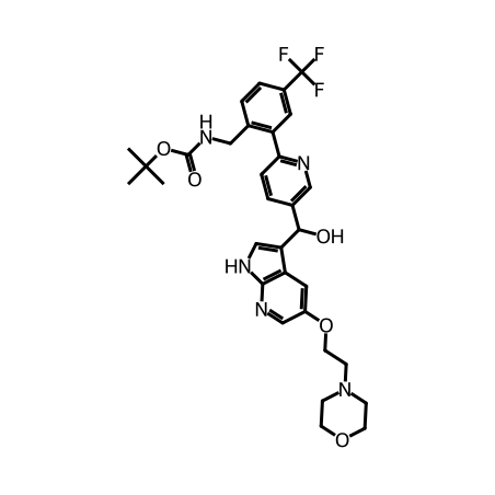 CC(C)(C)OC(=O)NCc1ccc(C(F)(F)F)cc1-c1ccc(C(O)c2c[nH]c3ncc(OCCN4CCOCC4)cc23)cn1